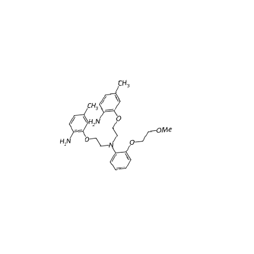 COCCOc1ccccc1N(CCOc1cc(C)ccc1N)CCOc1cc(C)ccc1N